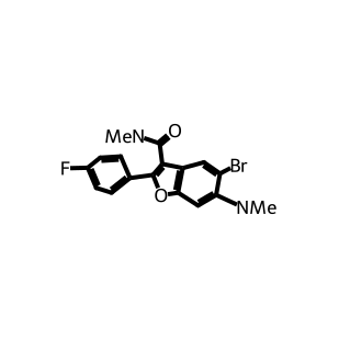 CNC(=O)c1c(-c2ccc(F)cc2)oc2cc(NC)c(Br)cc12